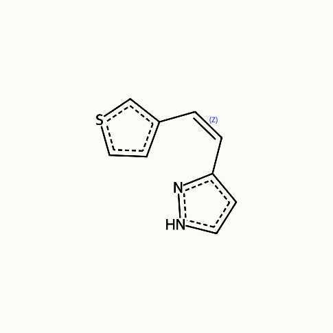 C(=C/c1cc[nH]n1)/c1ccsc1